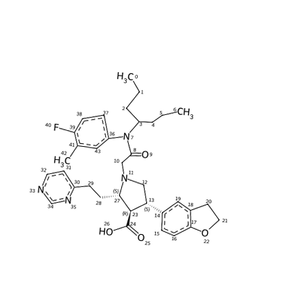 CCCC(CCC)N(C(=O)CN1C[C@H](c2ccc3c(c2)CCO3)[C@@H](C(=O)O)[C@@H]1CCc1ccncn1)c1ccc(F)c(C)c1